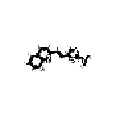 CN(C)c1ncc(C=Cc2ccc3ccccc3n2)s1